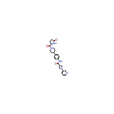 O=C1CC[C@H](C(=O)N2CCC(c3ccc(NC(=O)C4CN(c5cccnc5)C4)cc3)CC2)N1